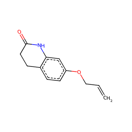 C=CCOc1ccc2c(c1)NC(=O)CC2